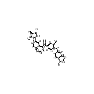 C=C1C(=O)N(c2ccc3ncnc(Nc4ccc(Cc5ccc6c(c5)ncn6C)c(C)c4)c3c2)C[C@H]1C